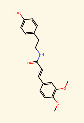 COc1ccc(/C=C/C(=O)NCCc2ccc(O)cc2)cc1OC